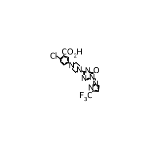 O=C(O)c1cc(N2CCN(c3ncn(Cn4ccc(C(F)(F)F)n4)c(=O)n3)CC2)ccc1Cl